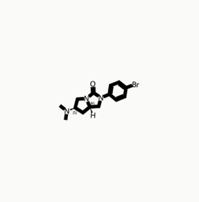 CN(C)[C@H]1C[C@@H]2CN(c3ccc(Br)cc3)C(=O)N2C1